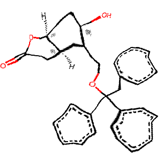 O=C1C[C@@H]2C(COC(c3ccccc3)(c3ccccc3)c3ccccc3)[C@H](O)C[C@@H]2O1